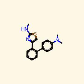 CNc1nc(-c2ccccc2-c2ccc(N(C)C)cc2)cs1